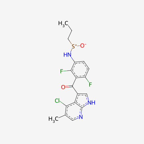 CCC[S+]([O-])Nc1ccc(F)c(C(=O)c2c[nH]c3ncc(C)c(Cl)c23)c1F